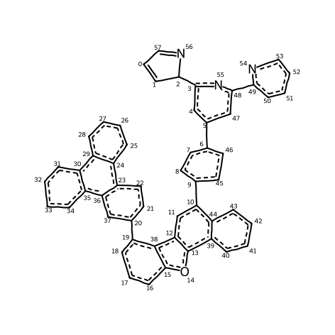 C1=CC(c2cc(-c3ccc(-c4cc5c(oc6cccc(-c7ccc8c9ccccc9c9ccccc9c8c7)c65)c5ccccc45)cc3)cc(-c3ccccn3)n2)N=C1